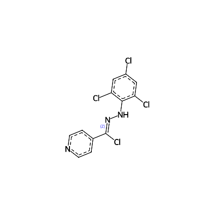 Cl/C(=N\Nc1c(Cl)cc(Cl)cc1Cl)c1ccncc1